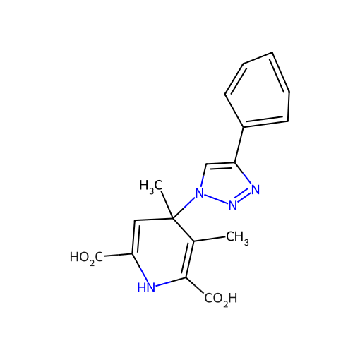 CC1=C(C(=O)O)NC(C(=O)O)=CC1(C)n1cc(-c2ccccc2)nn1